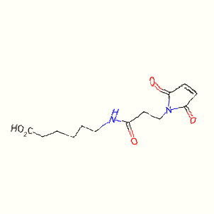 O=C(O)CCCCCNC(=O)CCN1C(=O)C=CC1=O